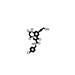 O=C1CC(=O)n2cc(C(=O)NCc3ccc(Cl)cc3)c(=O)c3cc(C#CCO)cc(c32)N1